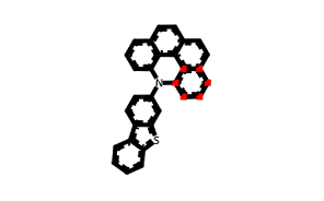 c1ccc(N(c2ccc3c(c2)sc2ccccc23)c2cccc3ccc4ccc5ccccc5c4c23)cc1